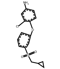 Nc1ccc(Oc2cccc(S(=O)(=O)CC3CC3)c2)c(Cl)c1